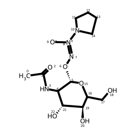 CC(=O)NC1[C@H](O/N=[N+](\[O-])N2CCCC2)OC(CO)[C@@H](O)[C@@H]1O